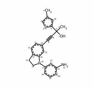 Cc1csc(C(C)(O)C#Cc2ccc3c(c2)N(c2ccnc(N)n2)CC3)c1